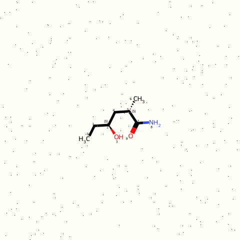 CC[C@H](O)C[C@H](C)C(N)=O